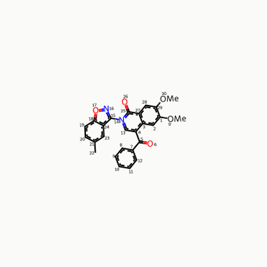 COc1cc2c(C(=O)c3ccccc3)cn(-c3noc4ccc(C)cc34)c(=O)c2cc1OC